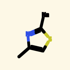 Cc1cs[c]([Na])n1